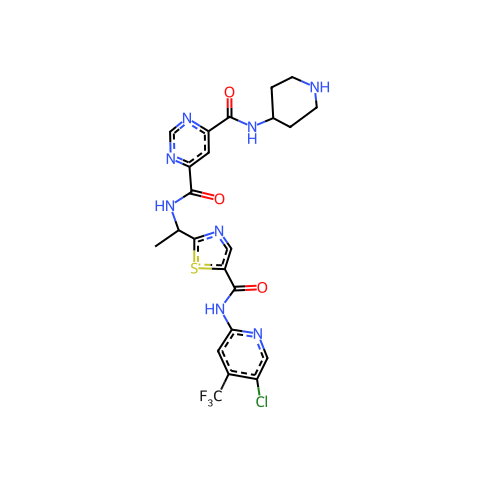 CC(NC(=O)c1cc(C(=O)NC2CCNCC2)ncn1)c1ncc(C(=O)Nc2cc(C(F)(F)F)c(Cl)cn2)s1